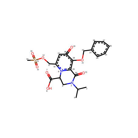 CC(C)N1CC(C(=O)O)n2c(COS(C)(=O)=O)cc(=O)c(OCc3ccccc3)c2C1=O